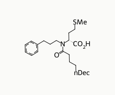 CCCCCCCCCCCCCC(=O)N(CCCc1ccccc1)[C@H](CCSC)C(=O)O